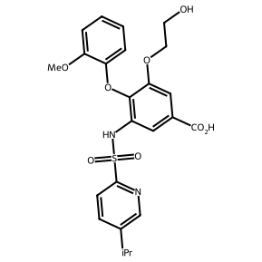 COc1ccccc1Oc1c(NS(=O)(=O)c2ccc(C(C)C)cn2)cc(C(=O)O)cc1OCCO